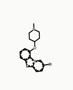 CN1CCC(Oc2cccc3nc4ccc(Br)cn4c23)CC1